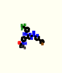 CC(=O)Nc1cccc(-c2cnc(Nc3ccc(-c4ccsc4)cn3)nc2Nc2cccc(C(F)(F)F)c2)c1